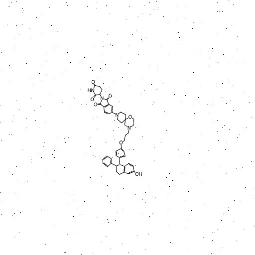 O=C1CCC(N2C(=O)c3ccc(N4CCC5(CC4)CN(CCCOc4ccc(C6c7ccc(O)cc7CCC6c6ccccc6)cc4)CCO5)cc3C2=O)C(=O)N1